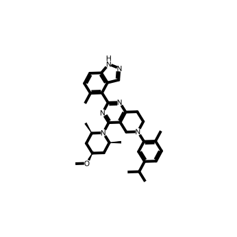 CO[C@H]1C[C@@H](C)N(c2nc(-c3c(C)ccc4[nH]ncc34)nc3c2CN(c2cc(C(C)C)ccc2C)CC3)[C@@H](C)C1